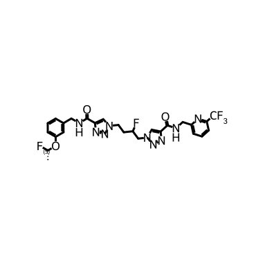 C[C@H](F)Oc1cccc(CNC(=O)c2cn(CCC(F)Cn3cc(C(=O)NCc4cccc(C(F)(F)F)n4)nn3)nn2)c1